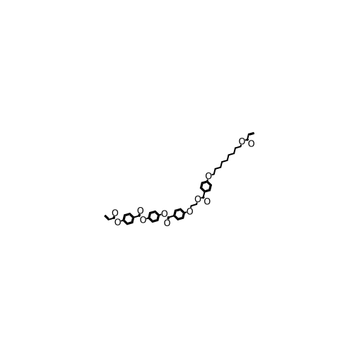 C=CC(=O)OCCCCCCCCCOc1ccc(C(=O)OCCOc2ccc(C(=O)Oc3ccc(OC(=O)c4ccc(OC(=O)C=C)cc4)cc3)cc2)cc1